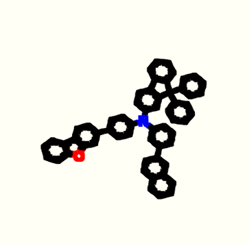 c1ccc(C2(c3ccccc3)c3ccccc3-c3ccc(N(c4ccc(-c5ccc6c(c5)oc5ccccc56)cc4)c4cccc(-c5ccc6ccccc6c5)c4)cc32)cc1